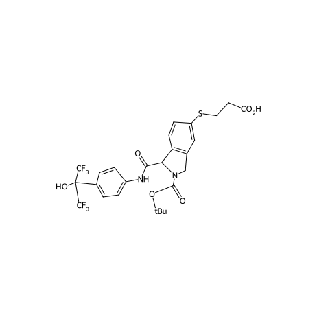 CC(C)(C)OC(=O)N1Cc2cc(SCCC(=O)O)ccc2C1C(=O)Nc1ccc(C(O)(C(F)(F)F)C(F)(F)F)cc1